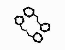 c1ccc(CCc2ccccc2)cc1.c1ccc(CSCc2ccccc2)cc1